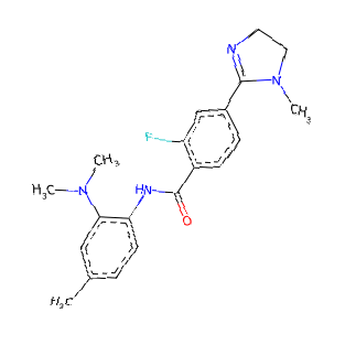 Cc1ccc(NC(=O)c2ccc(C3=NCCN3C)cc2F)c(N(C)C)c1